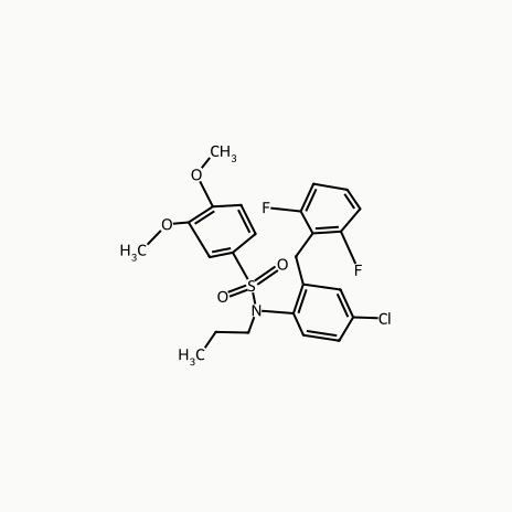 CCCN(c1ccc(Cl)cc1Cc1c(F)cccc1F)S(=O)(=O)c1ccc(OC)c(OC)c1